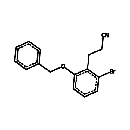 N#CCCc1c(Br)cccc1OCc1ccccc1